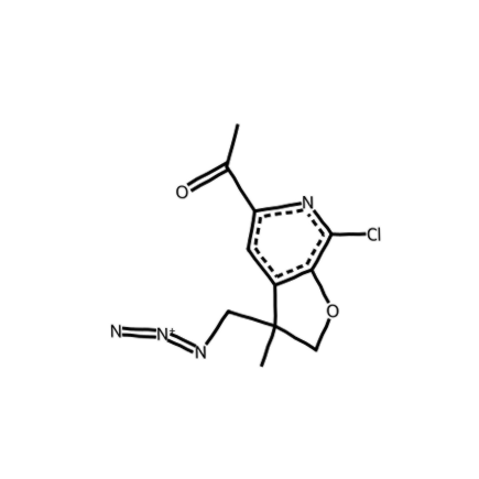 CC(=O)c1cc2c(c(Cl)n1)OCC2(C)CN=[N+]=[N-]